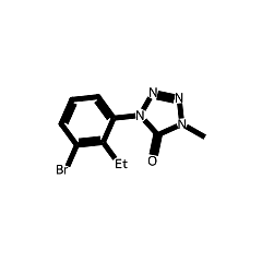 CCc1c(Br)cccc1-n1nnn(C)c1=O